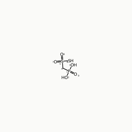 O=P(O)(O)CS(=O)(=O)S